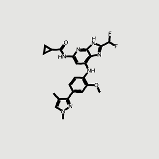 COc1cc(-c2nn(C)cc2C)ccc1Nc1cc(NC(=O)C2CC2)nc2[nH]c(C(F)F)nc12